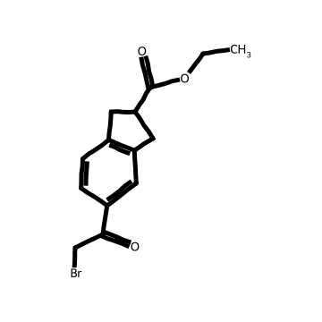 CCOC(=O)C1Cc2ccc(C(=O)CBr)cc2C1